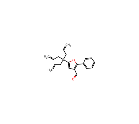 C=CC[Si](CC=C)(CC=C)c1cc(C=O)c(-c2ccccc2)o1